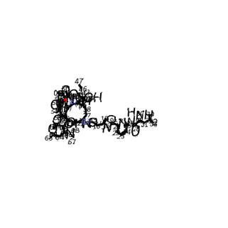 CCC(=O)/N=C1\[C@H](C)C[C@@]2(C)OC/C(=N/OCc3coc(-c4cccc(NC(=O)[C@@H](N)CC(C)C)n4)n3)CC[C@H]([C@H]1C)[C@](C)(O)[C@@H](CC)OC(=O)[C@@](C)(F)C(=O)[C@H](C)[C@H]2O[C@@H]1O[C@H](C)C[C@H](N(C)C)[C@H]1O